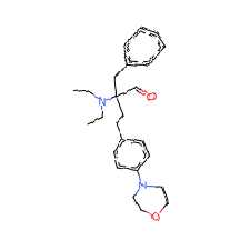 CCN(CC)C(C=O)(CCc1ccc(N2CCOCC2)cc1)Cc1ccccc1